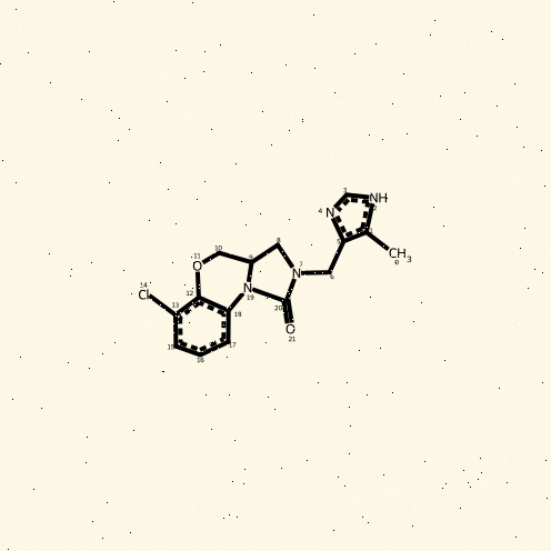 Cc1[nH]cnc1CN1CC2COc3c(Cl)cccc3N2C1=O